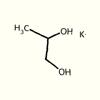 CC(O)CO.[K]